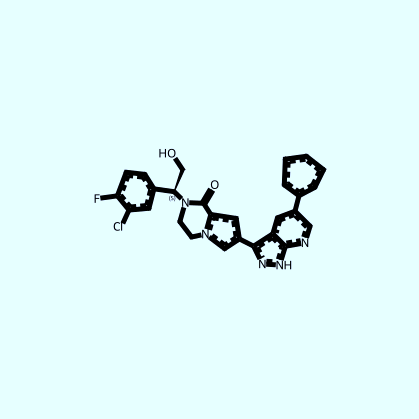 O=C1c2cc(-c3n[nH]c4ncc(-c5ccccc5)cc34)cn2CCN1[C@H](CO)c1ccc(F)c(Cl)c1